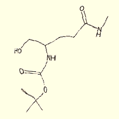 CNC(=O)CCC(CO)NC(=O)OC(C)(C)C